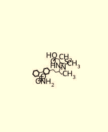 C=C(C(=O)O)c1[nH]c(C(CC)CCc2ccc(-c3ccccc3S(N)(=O)=O)cc2)nc1SC